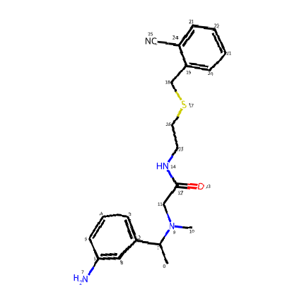 CC(c1cccc(N)c1)N(C)CC(=O)NCCSCc1ccccc1C#N